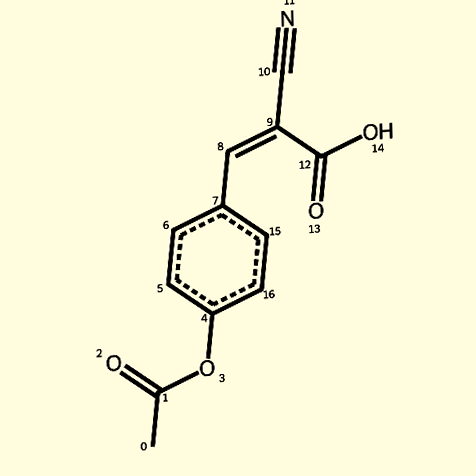 CC(=O)Oc1ccc(C=C(C#N)C(=O)O)cc1